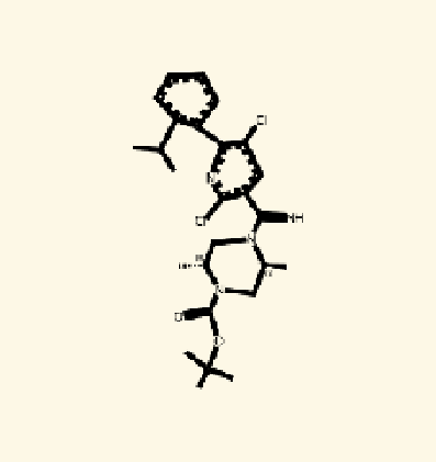 CC(C)c1ccccc1-c1nc(Cl)c(C(=N)N2C[C@@H](C)N(C(=O)OC(C)(C)C)C[C@@H]2C)cc1Cl